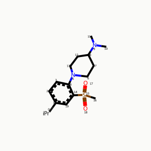 CC(C)c1ccc(N2CCC(N(C)C)CC2)c(S(C)(=O)=O)c1